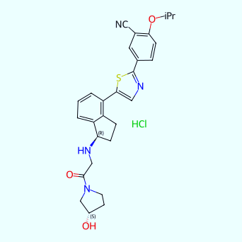 CC(C)Oc1ccc(-c2ncc(-c3cccc4c3CC[C@H]4NCC(=O)N3CC[C@H](O)C3)s2)cc1C#N.Cl